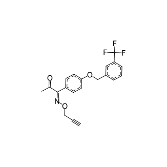 C#CCO/N=C(/C(C)=O)c1ccc(OCc2cccc(C(F)(F)F)c2)cc1